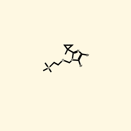 CC1(c2nc(Br)c(Br)n2COCC[Si](C)(C)C)CC1